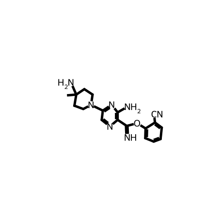 CC1(N)CCN(c2cnc(C(=N)Oc3ccccc3C#N)c(N)n2)CC1